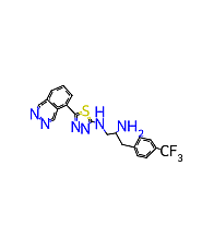 NC(CNc1nnc(-c2cccc3cnncc23)s1)Cc1ccc(C(F)(F)F)cc1